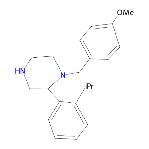 COc1ccc(CN2CCNCC2c2ccccc2C(C)C)cc1